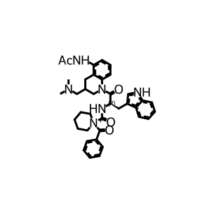 CC(=O)Nc1cccc2c1CC(CN(C)C)CN2C(=O)[C@@H](Cc1c[nH]c2ccccc12)NC(=O)[N+]1(C(=O)c2ccccc2)CCCCC1